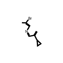 C=C(/C=N\C=C(/C)Br)C1CC1